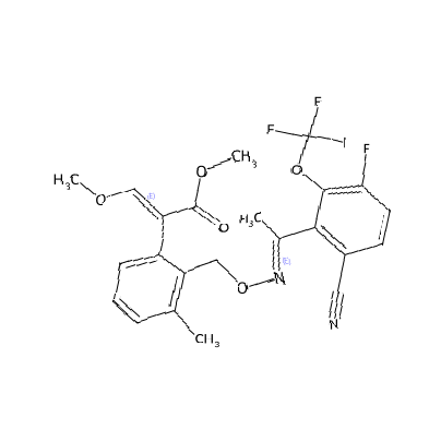 CO/C=C(/C(=O)OC)c1cccc(C)c1CO/N=C(\C)c1c(C#N)ccc(F)c1OC(F)(F)I